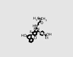 CCC(O)N1CCN(c2nc(NCCC(=O)N(C)C)nc3c(F)c([C@@H]4C=C(O)Cc5ccccc54)c(Cl)cc23)CC1